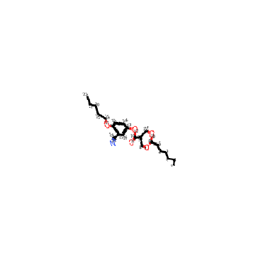 CCCCCCC1OCC(C(=O)Oc2ccc(OCCCCC)c(C#N)c2)CO1